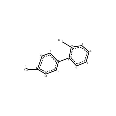 Clc1[c]cc(-c2ccccc2I)cc1